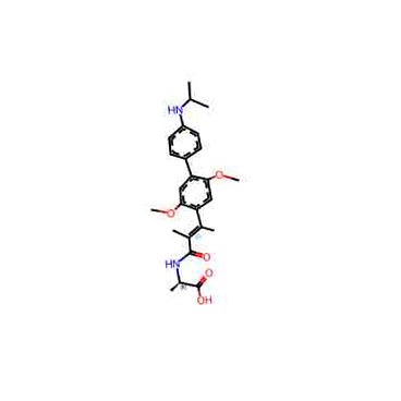 COc1cc(-c2ccc(NC(C)C)cc2)c(OC)cc1/C(C)=C(\C)C(=O)N[C@H](C)C(=O)O